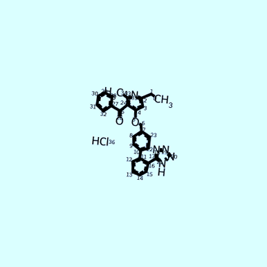 CCc1cc(OCc2ccc(-c3ccccc3-c3nnn[nH]3)cc2)c(C(=O)c2ccccc2)c(C)n1.Cl